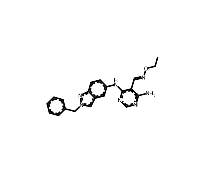 CCON=Cc1c(N)ncnc1Nc1ccc2nn(Cc3ccccc3)cc2c1